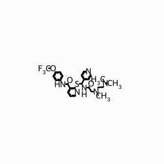 CN(C)CCN(C)CC(=O)NC(Sc1ncccc1C(=O)Nc1ccc(OC(F)(F)F)cc1)c1ccncc1